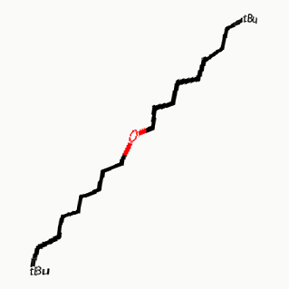 CC(C)(C)CCCCCCCCOCCCCCCCCC(C)(C)C